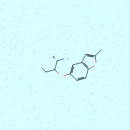 Cc1cc2cc(OC(CC(=O)O)[C@H](N)C(=O)O)ccc2o1